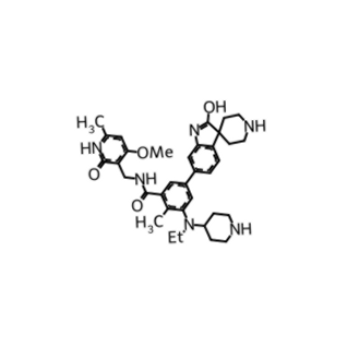 CCN(c1cc(-c2ccc3c(c2)N=C(O)C32CCNCC2)cc(C(=O)NCc2c(OC)cc(C)[nH]c2=O)c1C)C1CCNCC1